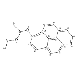 CCOC(C)Oc1ccc2ccc3cccc4ccc1c2c34